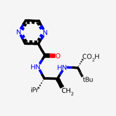 C=C(N[C@H](C(=O)O)C(C)(C)C)[C@@H](NC(=O)c1cnccn1)C(C)C